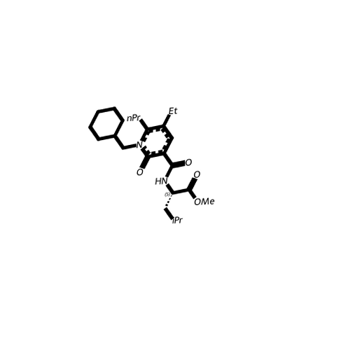 CCCc1c(CC)cc(C(=O)N[C@@H](CC(C)C)C(=O)OC)c(=O)n1CC1CCCCC1